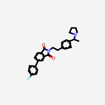 CC(c1ccc(CCN2C(=O)c3ccc(-c4ccc(F)cc4)cc3C2=O)cc1)N1CCCC1